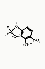 O=Cc1c([N+](=O)[O-])ccc2c1OC(F)(F)O2